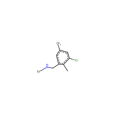 CCNCc1cc(C(F)(F)F)cc(Cl)c1C